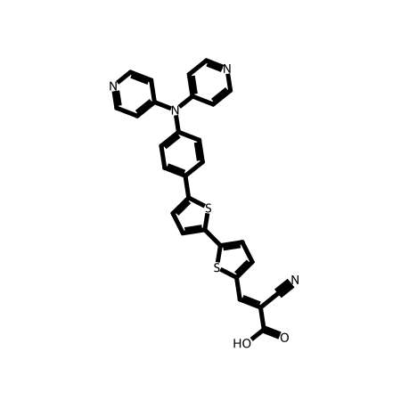 N#C/C(=C\c1ccc(-c2ccc(-c3ccc(N(c4ccncc4)c4ccncc4)cc3)s2)s1)C(=O)O